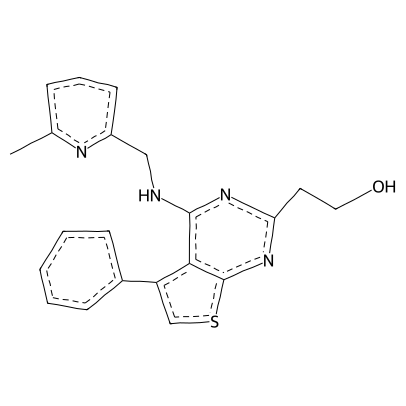 Cc1cccc(CNc2nc(CCO)nc3scc(-c4ccccc4)c23)n1